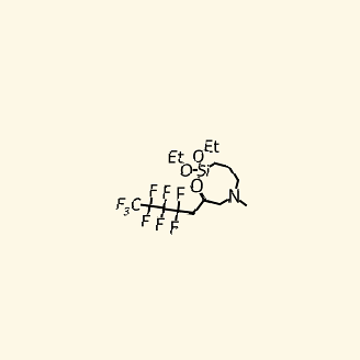 CCO[Si]1(OCC)CCCN(C)CC(CC(F)(F)C(F)(F)C(F)(F)C(F)(F)F)O1